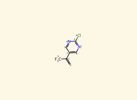 C=C(c1cnc(Cl)nc1)C(F)(F)F